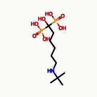 CC(C)(C)NCCCCCC(O)(P(=O)(O)O)P(=O)(O)O